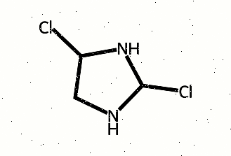 ClC1CNC(Cl)N1